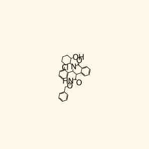 O=C(NOCc1ccccc1)C1c2ccccc2C(=O)N(C2CCCCC2O)C1c1ccccc1Cl